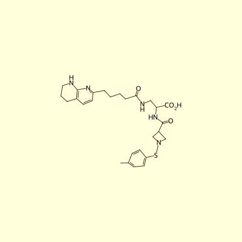 Cc1ccc(SN2CC(C(=O)NC(CNC(=O)CCCCc3ccc4c(n3)NCCC4)C(=O)O)C2)cc1